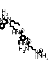 CCCCc1nc2c(N)nc3ccccc3c2n1CCCCNC(=O)c1cc(F)c(NC(=O)[C@@H](N)CCCNC(N)=O)c(F)c1